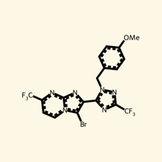 COc1ccc(Cn2nc(C(F)(F)F)nc2-c2nc3nc(C(F)(F)F)ccn3c2Br)cc1